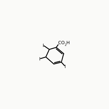 O=C(O)C1=CC(I)=CC(I)C1I